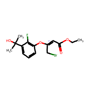 CCOC(=O)/C=C(\CBr)Oc1cccc(C(C)(C)O)c1F